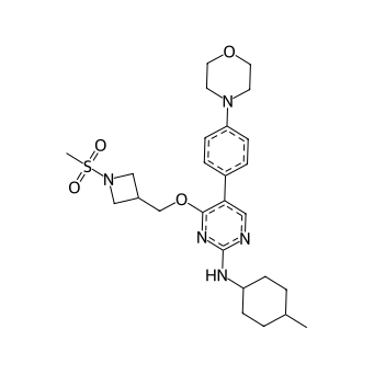 CC1CCC(Nc2ncc(-c3ccc(N4CCOCC4)cc3)c(OCC3CN(S(C)(=O)=O)C3)n2)CC1